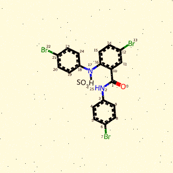 O=C(Nc1ccc(Br)cc1)c1cc(Br)ccc1N(c1ccc(Br)cc1)S(=O)(=O)O